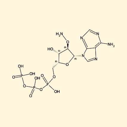 NO[C@@H]1[C@@H](O)[C@@H](COP(=O)(O)OP(=O)(O)OP(=O)(O)O)O[C@H]1n1cnc2c(N)ncnc21